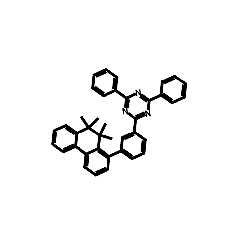 CC1(C)c2ccccc2-c2cccc(-c3cccc(-c4nc(-c5ccccc5)nc(-c5ccccc5)n4)c3)c2C1(C)C